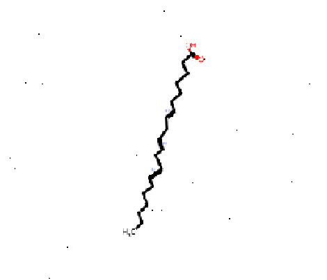 CCCCCC/C=C/C/C=C/C/C=C/CCCCCC(=O)O